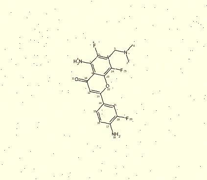 CN(C)Cc1c(F)c(N)c2c(=O)cc(-c3ccc(N)c(F)c3)oc2c1F